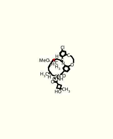 CO[C@@]12/C=C/C[C@H](C)CS(=O)(NC(=O)C3CC(C)(O)C3)=NC(=O)c3ccc4c(c3)N(Cc3ccc(Cl)cc3CCCCO4)C[C@H](C1)[C@H]2C